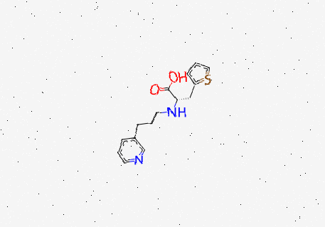 O=C(O)[C@H](Cc1cccs1)NCCCc1cccnc1